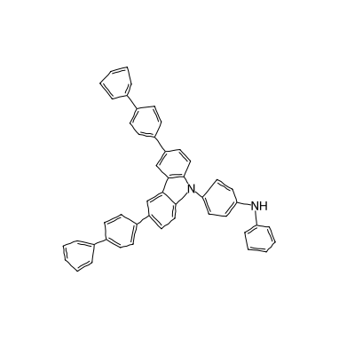 c1ccc(Nc2ccc(-n3c4ccc(-c5ccc(-c6ccccc6)cc5)cc4c4cc(-c5ccc(-c6ccccc6)cc5)ccc43)cc2)cc1